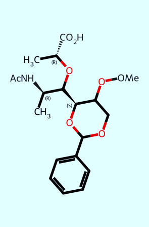 COOC1COC(c2ccccc2)O[C@H]1C(O[C@H](C)C(=O)O)[C@@H](C)NC(C)=O